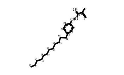 C=C(C)C(=O)OOc1ccc(CCCCCCCCCCCC)cc1